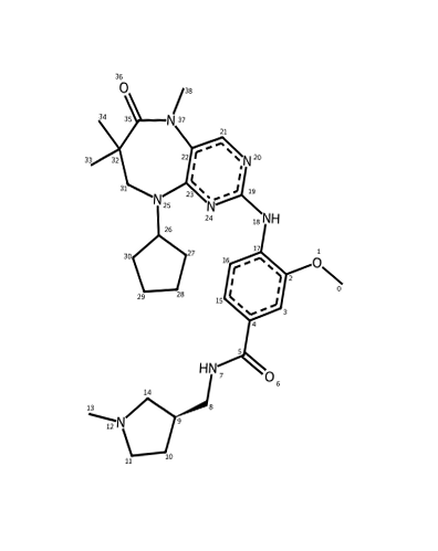 COc1cc(C(=O)NC[C@H]2CCN(C)C2)ccc1Nc1ncc2c(n1)N(C1CCCC1)CC(C)(C)C(=O)N2C